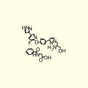 NC(CO)Cn1ccc(-c2ccc(Oc3ncc(-c4cc[nH]n4)cc3F)cc2)n1.O=C(O)CNC(=O)c1ccccc1